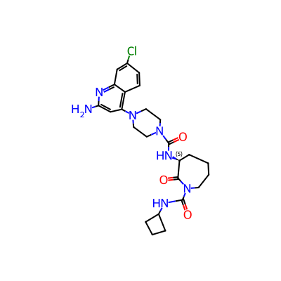 Nc1cc(N2CCN(C(=O)N[C@H]3CCCCN(C(=O)NC4CCC4)C3=O)CC2)c2ccc(Cl)cc2n1